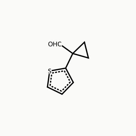 O=CC1(c2cccs2)CC1